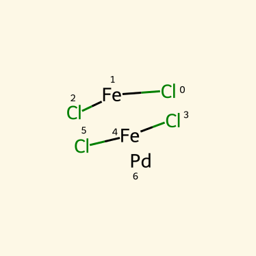 [Cl][Fe][Cl].[Cl][Fe][Cl].[Pd]